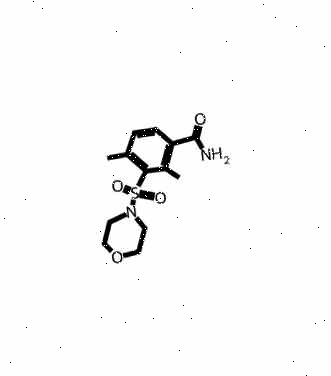 Cc1ccc(C(N)=O)c(C)c1S(=O)(=O)N1CCOCC1